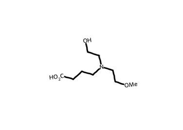 COCCN(CCO)CCCC(=O)O